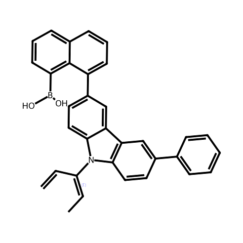 C=C/C(=C\C)n1c2ccc(-c3ccccc3)cc2c2cc(-c3cccc4cccc(B(O)O)c34)ccc21